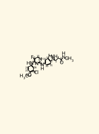 CNC(=O)CCN1NCc2cc(Nc3ncc(F)c(Nc4ccc(OC)c(Cl)c4)n3)ccc21